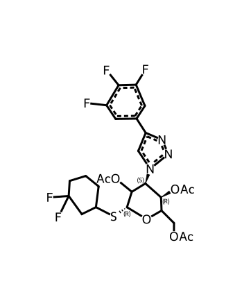 CC(=O)OCC1O[C@H](SC2CCCC(F)(F)C2)C(OC(C)=O)[C@@H](n2cc(-c3cc(F)c(F)c(F)c3)nn2)[C@H]1OC(C)=O